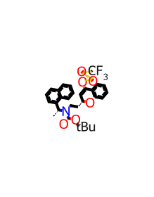 C[C@H](c1cccc2ccccc12)N(CC[C@@H]1C=C(OS(=O)(=O)C(F)(F)F)c2ccccc2O1)C(=O)OC(C)(C)C